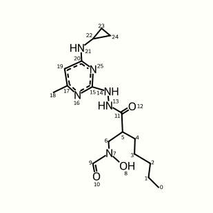 CCCCCC(CN(O)C=O)C(=O)NNc1nc(C)cc(NC2CC2)n1